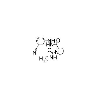 CNC(=O)N1CCCC1C(=O)NNc1cccc(C#N)c1